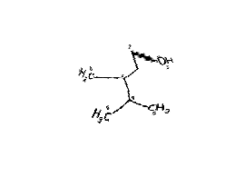 [CH2]C(CO)C(C)C